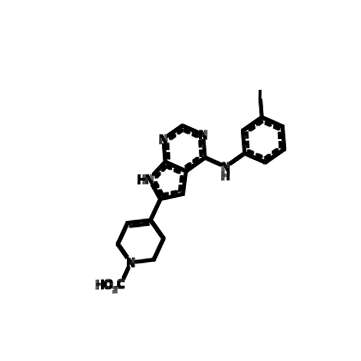 O=C(O)N1CC=C(c2cc3c(Nc4cccc(I)c4)ncnc3[nH]2)CC1